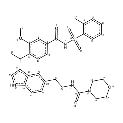 COc1cc(C(=O)NS(=O)(=O)c2ccccc2C)ccc1C(C)c1c[nH]c2ccc(CCNC(=O)N3CCOCC3)cc12